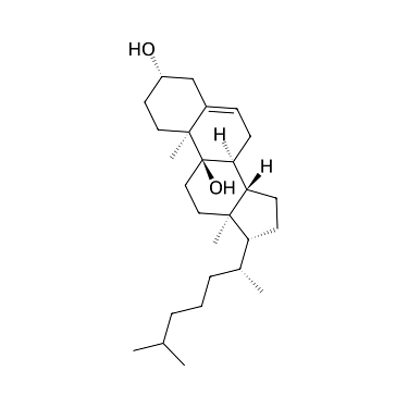 CC(C)CCC[C@@H](C)[C@H]1CC[C@H]2[C@@H]3CC=C4C[C@@H](O)CC[C@]4(C)[C@@]3(O)CC[C@]12C